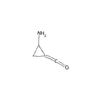 NC1CC1=C=O